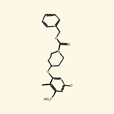 Cc1c(OC2CCN(C(=O)OCc3ccccc3)CC2)cc(Cl)cc1C(=O)O